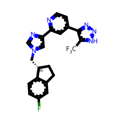 Fc1ccc2c(c1)CC[C@H]2Cn1cnc(-c2cc(-c3nn[nH]c3C(F)(F)F)ccn2)c1